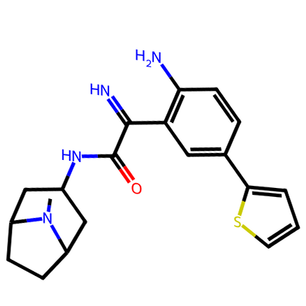 CN1C2CCC1CC(NC(=O)C(=N)c1cc(-c3cccs3)ccc1N)C2